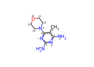 Cc1c(N)nc(N)nc1N1CCOCC1